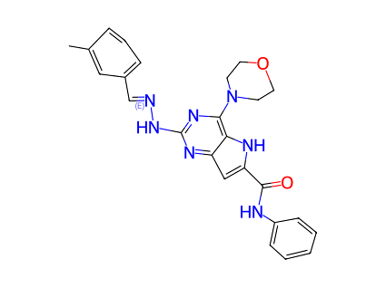 Cc1cccc(/C=N/Nc2nc(N3CCOCC3)c3[nH]c(C(=O)Nc4ccccc4)cc3n2)c1